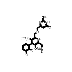 CCOC(=O)C1=C(COCc2cc(=O)[nH]c(N)n2)NC(C=C=O)=C(OC)C1c1cccc(Cl)c1Cl